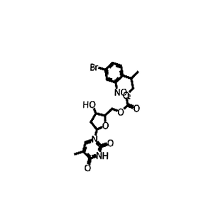 Cc1cn(C2CC(O)C(COC(=O)OCC(C)c3ccc(Br)cc3[N+](=O)[O-])O2)c(=O)[nH]c1=O